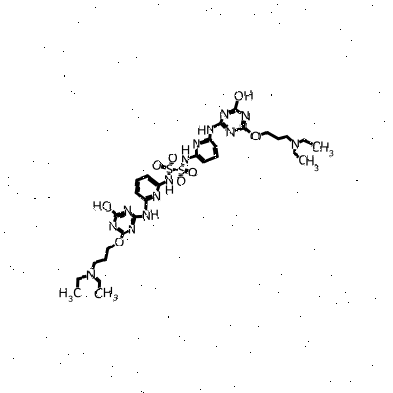 CCN(CC)CCCOc1nc(O)nc(Nc2cccc(NS(=O)(=O)S(=O)(=O)Nc3cccc(Nc4nc(O)nc(OCCCN(CC)CC)n4)n3)n2)n1